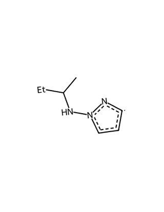 CCC(C)Nn1cc[c]n1